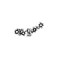 Nc1c(CC(NC(=O)OCc2ccc(COc3ccccc3)cc2)C(=O)O)cccc1S(=O)(=O)c1ccccc1